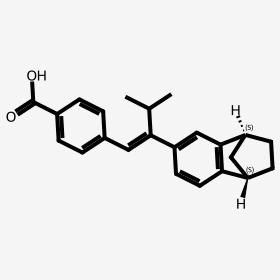 CC(C)C(=Cc1ccc(C(=O)O)cc1)c1ccc2c(c1)[C@H]1CC[C@H]2C1